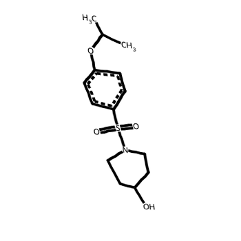 CC(C)Oc1ccc(S(=O)(=O)N2CCC(O)CC2)cc1